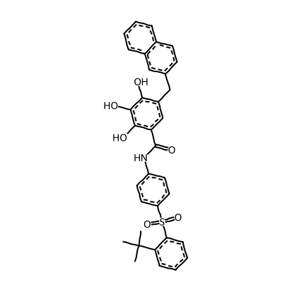 CC(C)(C)c1ccccc1S(=O)(=O)c1ccc(NC(=O)c2cc(Cc3ccc4ccccc4c3)c(O)c(O)c2O)cc1